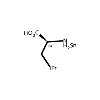 CC(C)C[C@H](N)C(=O)O.[Sn]